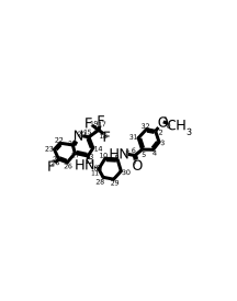 COc1ccc(C(=O)NC2=C[C@@H](Nc3cc(C(F)(F)F)nc4ccc(F)cc34)CCC2)cc1